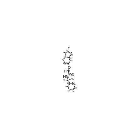 Cc1nc2cnc(ONC(=O)NC(C)(C)c3ccccn3)cc2s1